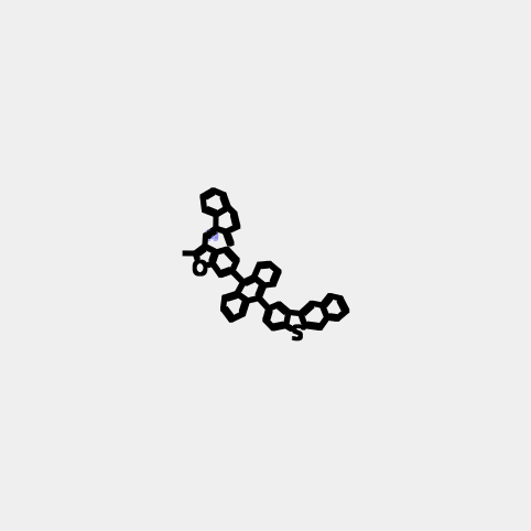 C=c1ccc2ccccc2/c1=C/c1c(C)oc2cc(-c3c4ccccc4c(-c4ccc5sc6cc7ccccc7cc6c5c4)c4ccccc34)ccc12